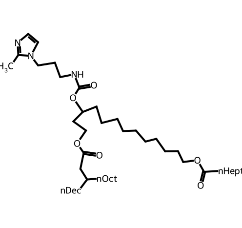 CCCCCCCCCCC(CCCCCCCC)CC(=O)OCCC(CCCCCCCCCCOC(=O)CCCCCCC)OC(=O)NCCCn1ccnc1C